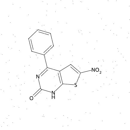 O=c1nc(-c2ccccc2)c2cc([N+](=O)[O-])sc2[nH]1